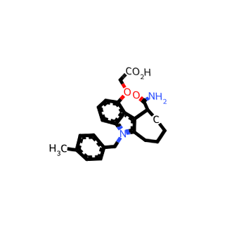 Cc1ccc(Cn2c3c(c4c(OCC(=O)O)cccc42)C(C(N)=O)CCCC3)cc1